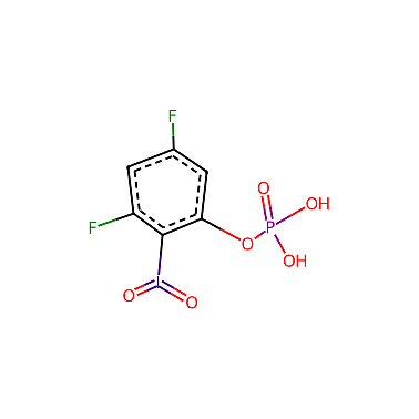 O=I(=O)c1c(F)cc(F)cc1OP(=O)(O)O